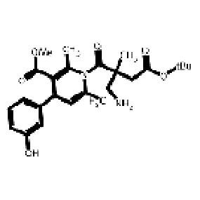 COC(=O)C1=C(C)N(C(=O)C(C)(CN)CC(=O)OC(C)(C)C)C(C)=CC1c1cccc(O)c1